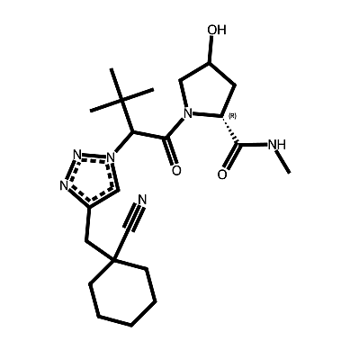 CNC(=O)[C@H]1CC(O)CN1C(=O)C(n1cc(CC2(C#N)CCCCC2)nn1)C(C)(C)C